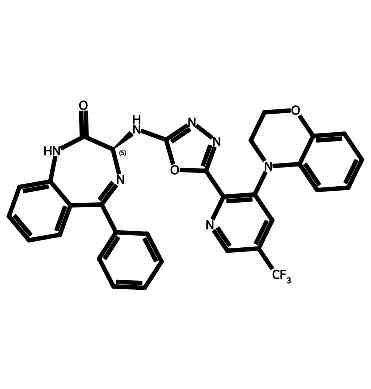 O=C1Nc2ccccc2C(c2ccccc2)=N[C@@H]1Nc1nnc(-c2ncc(C(F)(F)F)cc2N2CCOc3ccccc32)o1